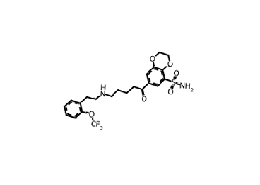 NS(=O)(=O)c1cc(C(=O)CCCCNCCc2ccccc2OC(F)(F)F)cc2c1OCCO2